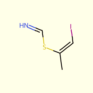 CC(=CI)SC=N